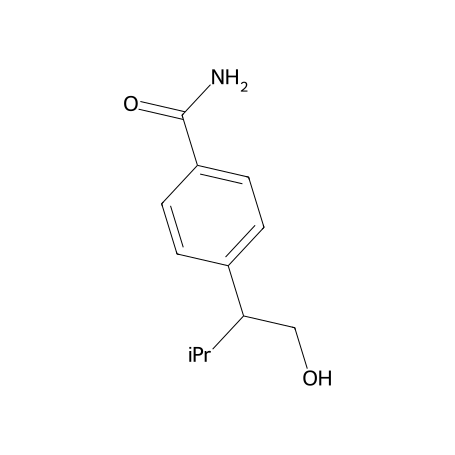 CC(C)C(CO)c1ccc(C(N)=O)cc1